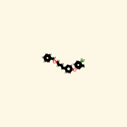 Cc1cc(OC2CCC(CCCCOCc3ccccc3)CC2)ccc1Br